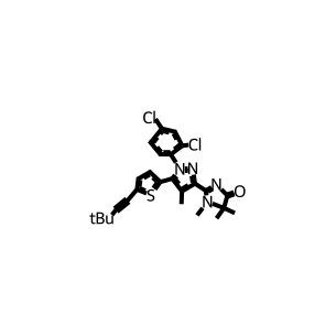 Cc1c(C2=NC(=O)C(C)(C)N2C)nn(-c2ccc(Cl)cc2Cl)c1-c1ccc(C#CC(C)(C)C)s1